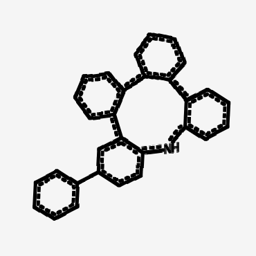 c1ccc(-c2ccc3[nH]c4ccccc4c4ccccc4c4ccccc4c3c2)cc1